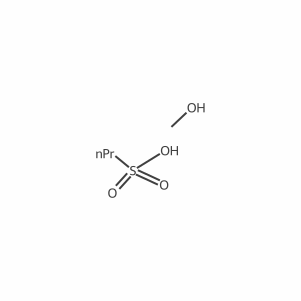 CCCS(=O)(=O)O.CO